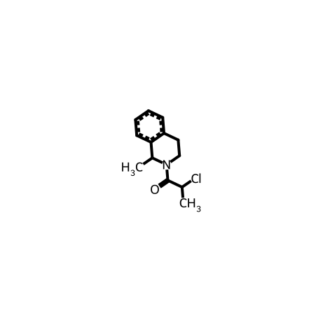 CC(Cl)C(=O)N1CCc2ccccc2C1C